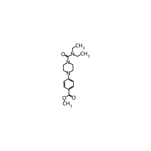 CCN(CC)C(=O)N1CCN(c2ccc(C(=O)OC)cc2)CC1